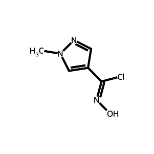 Cn1cc(C(Cl)=NO)cn1